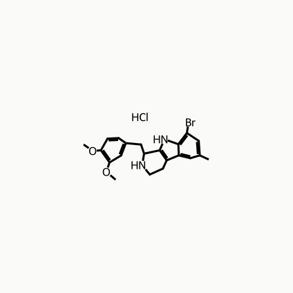 COc1ccc(CC2NCCc3c2[nH]c2c(Br)cc(C)cc32)cc1OC.Cl